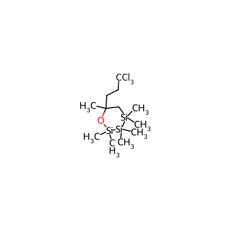 CC1(CCC(Cl)(Cl)Cl)C[Si](C)(C)[Si](C)(C)[Si](C)(C)O1